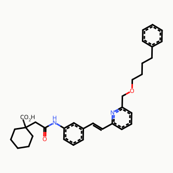 O=C(CC1(C(=O)O)CCCCC1)Nc1cccc(C=Cc2cccc(COCCCCc3ccccc3)n2)c1